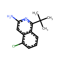 CC(C)(C)c1nc(N)cc2c(Cl)cccc12